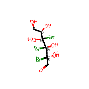 O=C[C@@](O)(Br)[C@](O)(Br)[C@@](O)(Br)[C@H](O)CO